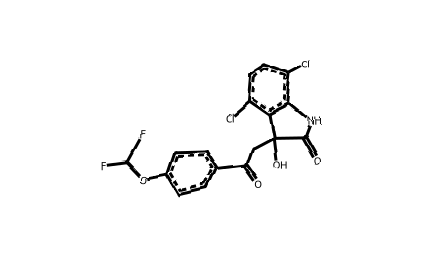 O=C(CC1(O)C(=O)Nc2c(Cl)ccc(Cl)c21)c1ccc(OC(F)F)cc1